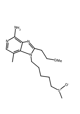 COCCc1nc2c(N)ncc(C)c2n1CCCCC[S+](C)[O-]